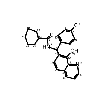 O=C(NC(c1ccc(Cl)cc1)c1ccc2cccnc2c1O)C1CCCCC1